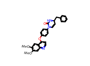 COc1cc2nccc(Oc3ccc(N4C=CC(Cc5ccccc5)NC4=O)cc3)c2cc1OC